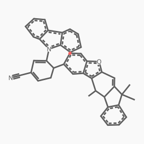 CC1c2c(oc3ccc(C4CC=C(C#N)C=C4n4c5ccccc5c5ccccc54)cc23)C=C2C1c1ccccc1C2(C)C